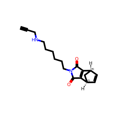 C#CCNCCCCCCN1C(=O)C2=C(C1=O)[C@H]1C=C[C@@H]2C1